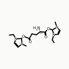 CCN1C=CN(C)C1OC(=O)CC[C@H](N)C(=O)OC1N(C)C=CN1CC